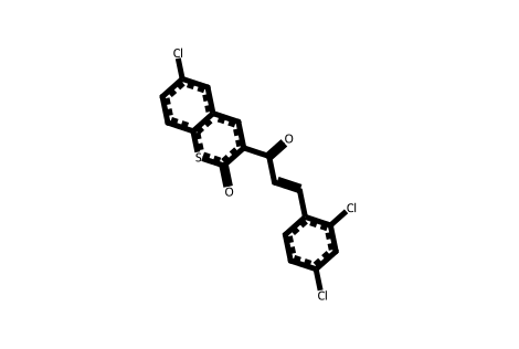 O=C(/C=C/c1ccc(Cl)cc1Cl)c1cc2cc(Cl)ccc2sc1=O